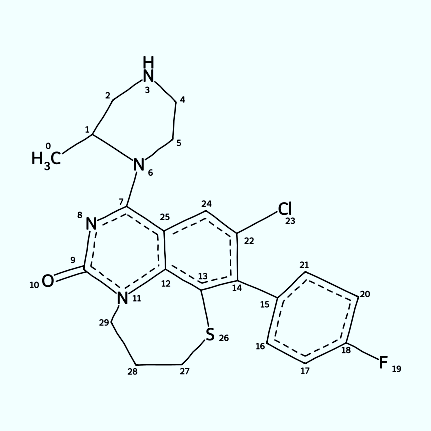 CC1CNCCN1c1nc(=O)n2c3c(c(-c4ccc(F)cc4)c(Cl)cc13)SCCC2